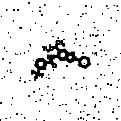 CC(C)c1cc2nn(C3CCCCC3)cc2cc1NC(=O)c1cccc(C(F)(F)F)n1